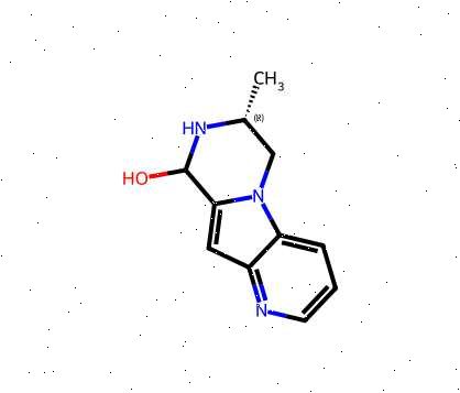 C[C@@H]1Cn2c(cc3ncccc32)C(O)N1